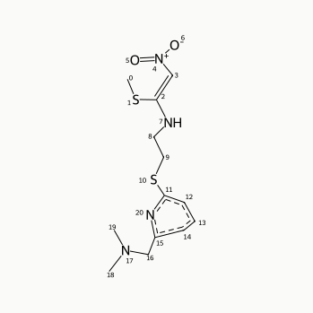 CSC(=C[N+](=O)[O-])NCCSc1cccc(CN(C)C)n1